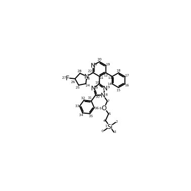 C[Si](C)(C)CCOCn1nc(-c2c(-c3ccccc3)ccnc2N2CCC(F)C2)nc1-c1ccccc1